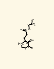 CC1CCNC(CC[N+](=S)CCN(C)C)C1=S